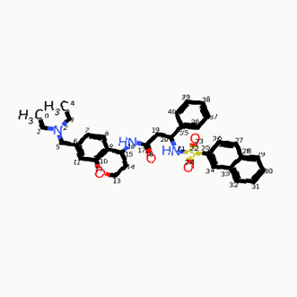 CCN(CC)Cc1ccc2c(c1)OCCC2NC(=O)CC(NS(=O)(=O)c1ccc2ccccc2c1)c1ccccc1